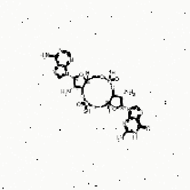 Nc1nc2c(ncn2[C@@H]2O[C@@H]3COP(=O)(S)OC4[C@@H](COP(=O)(S)OC3[C@@H]2N)O[C@@H](n2cnc3c(N)ncnc32)[C@H]4N)c(=O)[nH]1